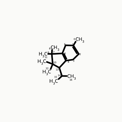 CC1=CCC2=C(C1)C(C)(C)C(C)(C)C2C(C)C